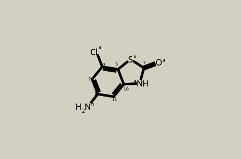 Nc1cc(Cl)c2sc(=O)[nH]c2c1